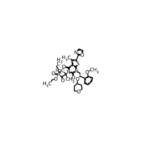 CCOP(=O)(OCC)C(=O)C(C)(C)n1c(=O)c2c(C)c(-c3ncco3)sc2n(C[C@H](OC2CCOCC2)c2ccccc2OC)c1=O